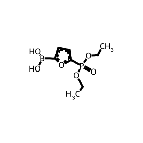 CCOP(=O)(OCC)c1ccc(B(O)O)o1